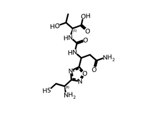 CC(O)[C@H](NC(=O)NC(CC(N)=O)c1nc([C@@H](N)CS)no1)C(=O)O